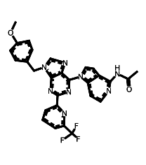 COc1ccc(Cn2cnc3c(-n4ccc5c(NC(C)=O)nccc54)nc(-c4cccc(C(F)(F)F)n4)nc32)cc1